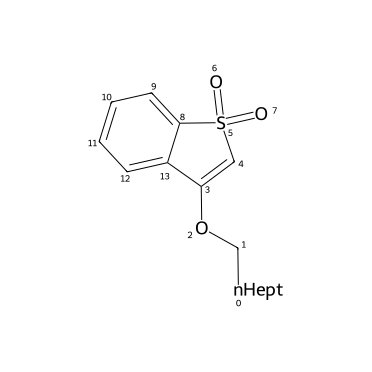 CCCCCCCCOC1=CS(=O)(=O)c2ccccc21